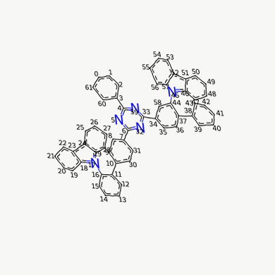 c1ccc(-c2nc(-c3ccc(-c4ccccc4-n4c5ccccc5c5ccccc54)cc3)nc(-c3ccc(-c4ccccc4)c(-n4c5ccccc5c5ccccc54)c3)n2)cc1